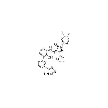 Cc1ccc(N2N=C(c3ccco3)C(=NNc3cccc(-c4cccc(-c5nnn[nH]5)c4)c3O)C2=O)cc1C